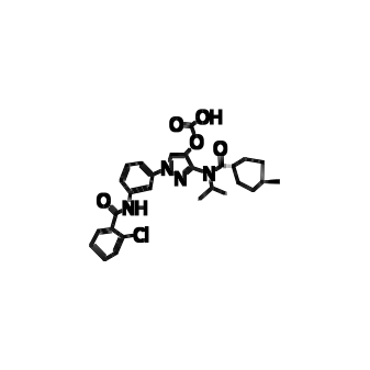 CC(C)N(c1nn(-c2cccc(NC(=O)c3ccccc3Cl)c2)cc1OC(=O)O)C(=O)[C@H]1CC[C@H](C)CC1